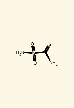 NC(=S)S(N)(=O)=O